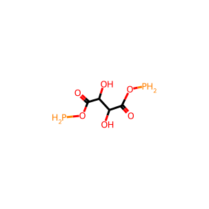 O=C(OP)C(O)C(O)C(=O)OP